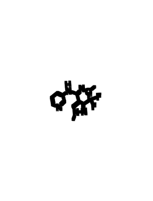 CO/N=C(/Nc1cccnc1)c1cn(C)nc1C(F)(F)F